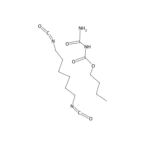 CCCCOC(=O)NC(N)=O.O=C=NCCCCCCN=C=O